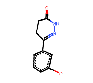 [O]c1cccc(C2=NNC(=O)CC2)c1